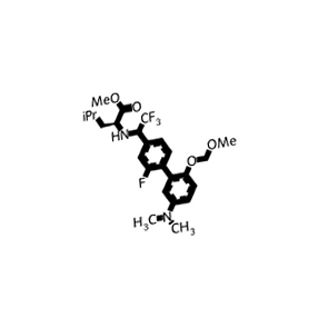 COCOc1ccc(N(C)C)cc1-c1ccc(C(N[C@@H](CC(C)C)C(=O)OC)C(F)(F)F)cc1F